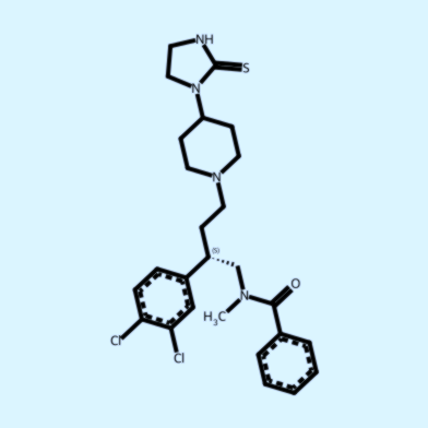 CN(C[C@@H](CCN1CCC(N2CCNC2=S)CC1)c1ccc(Cl)c(Cl)c1)C(=O)c1ccccc1